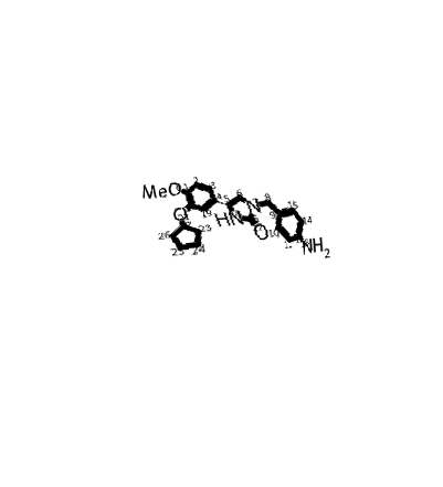 COc1ccc([C@@H]2CN(Cc3ccc(N)cc3)C(=O)N2)cc1OC1CCCC1